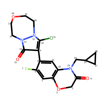 O=C1COc2cc(F)c(-c3c(Cl)n4n(c3=O)CCOCC4)cc2N1CC1CC1